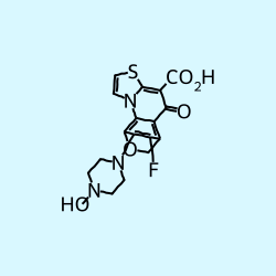 O=C(O)c1c(=O)c2c3c(F)c(N4CCN(O)CC4)c(c2n2ccsc12)OC3